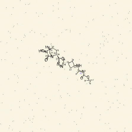 C/C(=N\C(=O)OC(C)(C)C)N[C@H]1C[C@H](c2nnc([C@@H]3CC[C@@H]4CN3C(=O)N4O)o2)C1